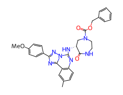 COc1ccc(-c2nc3c4cc(C)ccc4nc(N[C@@H]4CN(C(=O)OCc5ccccc5)CCNC4=O)n3n2)cc1